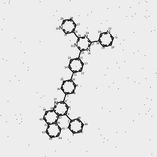 c1ccc(-c2cc(-c3ccc(-c4ccc(-c5nc(-c6cccnc6)nc(-c6cccnc6)n5)cc4)cc3)nc3ccc4ccccc4c23)cc1